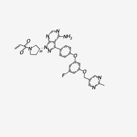 C=CS(=O)(=O)N1CC[C@@H](n2nc(-c3ccc(Oc4cc(F)cc(OCc5cnc(C)nc5)c4)cc3)c3c(N)ncnc32)C1